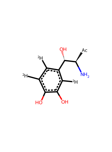 [2H]c1c([2H])c([C@H](O)[C@H](N)C(C)=O)c([2H])c(O)c1O